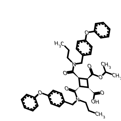 CCCN(Cc1ccc(Oc2ccccc2)cc1)C(=O)[C@H]1[C@@H](C(=O)O)[C@H](C(=O)OC(C)C)[C@@H]1C(=O)N(CCC)Cc1ccc(Oc2ccccc2)cc1